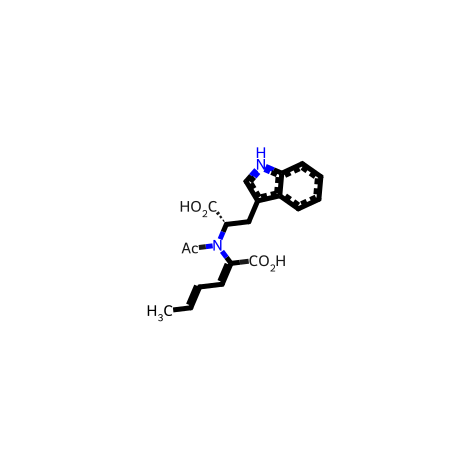 C/C=C/C=C(/C(=O)O)N(C(C)=O)[C@@H](Cc1c[nH]c2ccccc12)C(=O)O